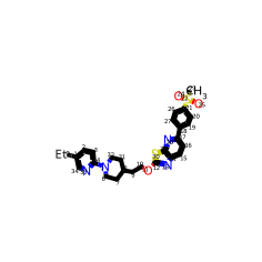 CCc1ccc(N2CCC(CCOc3nc4ccc(-c5ccc(S(C)(=O)=O)cc5)nc4s3)CC2)nc1